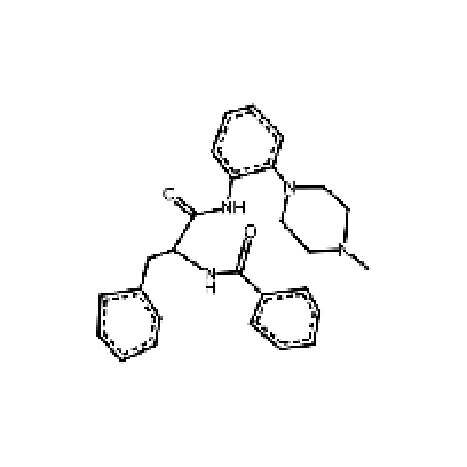 CN1CCN(c2ccccc2NC(=O)C(Cc2ccccc2)NC(=O)c2ccccc2)CC1